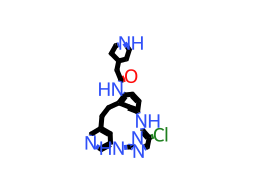 O=C(CC1CCNCC1)Nc1ccc2cc1CCc1cncc(c1)Nc1ncc(Cl)c(n1)N2